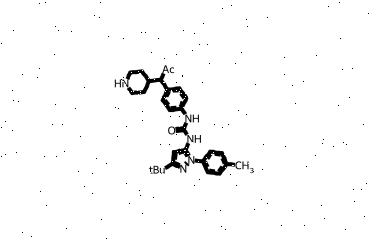 CC(=O)C(c1ccc(NC(=O)Nc2cc(C(C)(C)C)nn2-c2ccc(C)cc2)cc1)C1CCNCC1